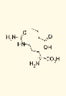 CCCC(=O)O.NC(=O)NCCC[C@H](N)C(=O)O